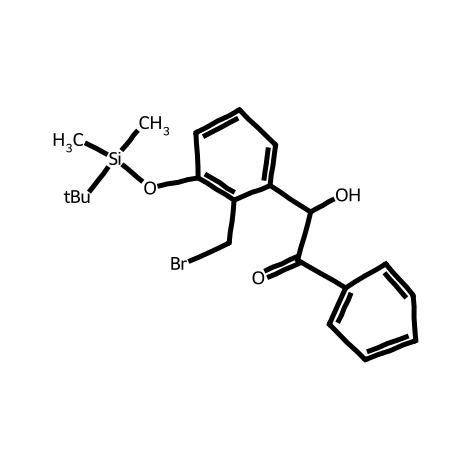 CC(C)(C)[Si](C)(C)Oc1cccc(C(O)C(=O)c2ccccc2)c1CBr